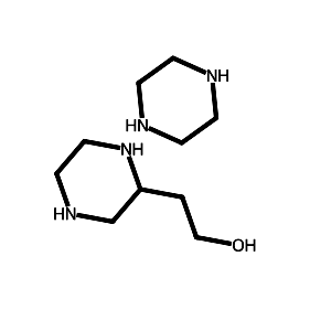 C1CNCCN1.OCCC1CNCCN1